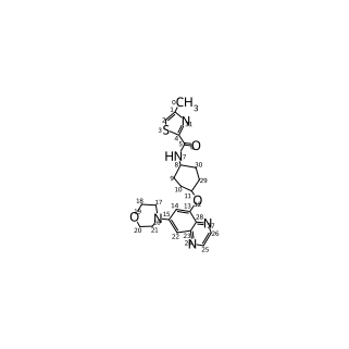 Cc1csc(C(=O)NC2CCC(Oc3cc(N4CCOCC4)cc4nccnc34)CC2)n1